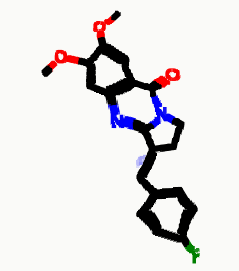 COc1cc2nc3n(c(=O)c2cc1OC)CC/C3=C\c1ccc(F)cc1